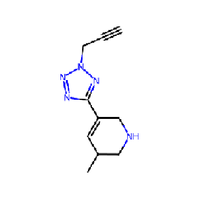 C#CCn1nnc(C2=CC(C)CNC2)n1